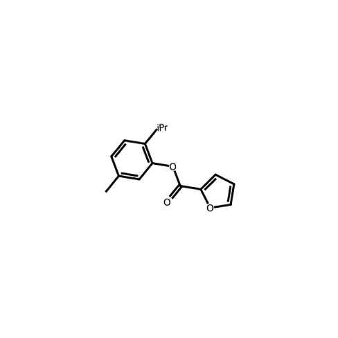 Cc1ccc(C(C)C)c(OC(=O)c2ccco2)c1